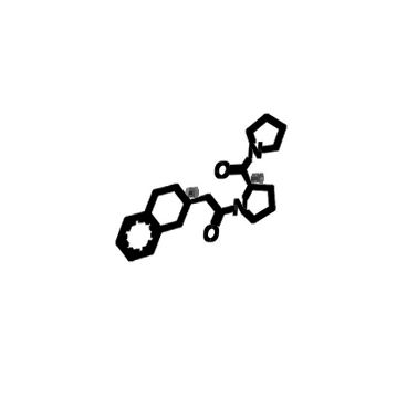 O=C([C@H]1CCCN1C(=O)C[C@@H]1CCc2ccccc2C1)N1CCCC1